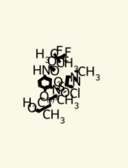 CCn1cc(S(=O)(=O)N2c3cc(NC(=O)OC(C)(C)C(F)(F)F)ccc3O[C@H](CC(C)(C)C=O)[C@@H]2C)c(Cl)n1